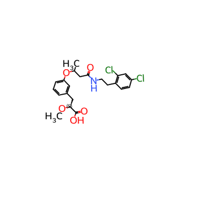 CO[C@@H](Cc1cccc(OC(C)CC(=O)NCCc2ccc(Cl)cc2Cl)c1)C(=O)O